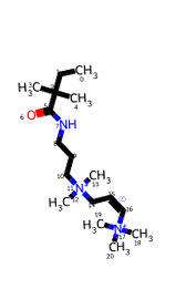 CCC(C)(C)C(=O)NCCC[N+](C)(C)C/C=C\[N+](C)(C)C